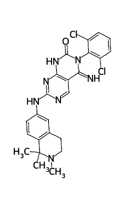 CN1CCc2cc(Nc3ncc4c(=N)n(-c5c(Cl)cccc5Cl)c(=O)[nH]c4n3)ccc2C1(C)C